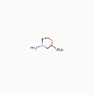 CCOC(=O)C1CN(C(=O)O)CCO1